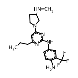 CCCc1cc(N2CC[C@H](NC)C2)nc(Nc2ccc(N)c(C(F)(F)F)c2)n1